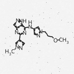 COCCCn1cc(Nc2nc(-c3cnn(C)c3)nc3cn[nH]c23)cn1